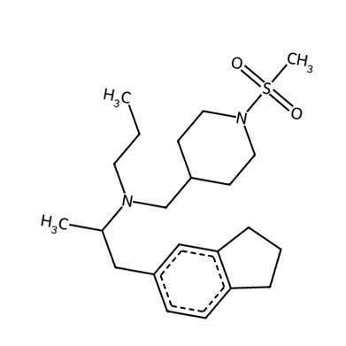 CCCN(CC1CCN(S(C)(=O)=O)CC1)C(C)Cc1ccc2c(c1)CCC2